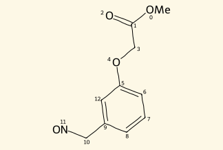 COC(=O)COc1cccc(CN=O)c1